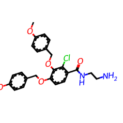 COc1ccc(COc2ccc(C(=O)NCCN)c(Cl)c2OCc2ccc(OC)cc2)cc1